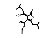 CCOC(=O)C1=C(CC(C)C)OC(=O)C1=C(O)CC(C)C